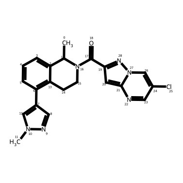 CC1c2cccc(-c3cnn(C)c3)c2CCN1C(=O)c1cc2ncc(Cl)cn2n1